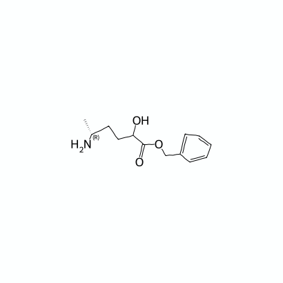 C[C@@H](N)CCC(O)C(=O)OCc1ccccc1